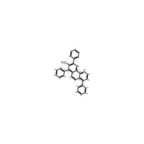 Cc1c(-c2ccccc2)nc2c(ccc3c(-c4ccccc4)ccnc32)c1-c1ccccc1